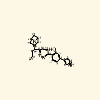 Oc1cc(-c2cn[nH]c2)ccc1-c1ccc(C(CCF)C2CC3CC(C2)N3)nn1